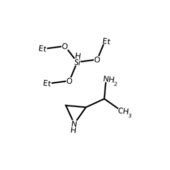 CC(N)C1CN1.CCO[SiH](OCC)OCC